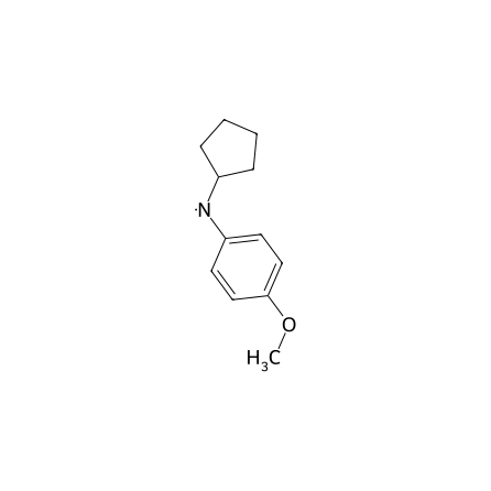 COc1ccc([N]C2CCCC2)cc1